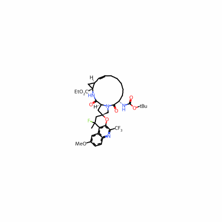 CCOC(=O)[C@@]12C[C@H]1/C=C\CCCCC[C@H](NC(=O)OC(C)(C)C)C(=O)N1C[C@]3(C[C@H]1C(=O)N2)CC(C)(F)c1c(c(C(F)(F)F)nc2ccc(OC)cc12)O3